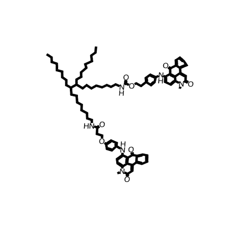 CCCCCCCCCC(CCCCCCCCNC(=O)CCOc1ccc(Nc2ccc3c4c(cc(=O)n3C)-c3ccccc3C(=O)c24)cc1)C(CCCCCCCCC)CCCCCCCCNC(=O)OCCc1ccc(Nc2ccc3c4c(cc(=O)n3C)-c3ccccc3C(=O)c24)cc1